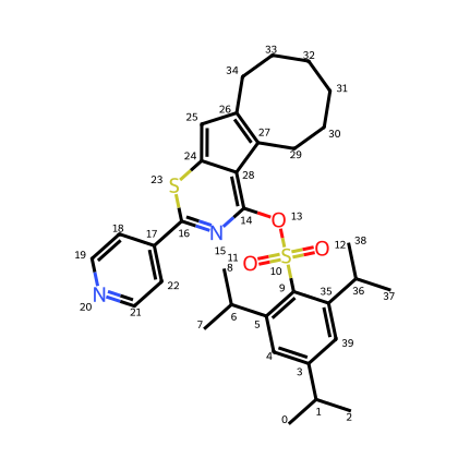 CC(C)c1cc(C(C)C)c(S(=O)(=O)Oc2nc(-c3ccncc3)sc3cc4c(c2-3)CCCCCC4)c(C(C)C)c1